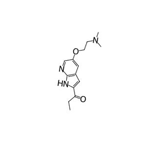 CCC(=O)c1cc2cc(OCCN(C)C)cnc2[nH]1